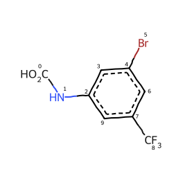 O=C(O)Nc1cc(Br)cc(C(F)(F)F)c1